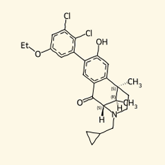 CCOc1cc(Cl)c(Cl)c(-c2cc3c(cc2O)[C@@]2(C)CCN(CC4CC4)[C@H](C3=O)[C@@H]2C)c1